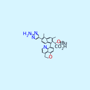 Cc1cc2c(C)c(-c3cnc(N)nc3)ccc2c(-c2ccc3c4c(ccnc24)CCO3)c1C(OC(C)(C)C)C(=O)O